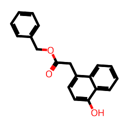 O=C(Cc1ccc(O)c2ccccc12)OCc1ccccc1